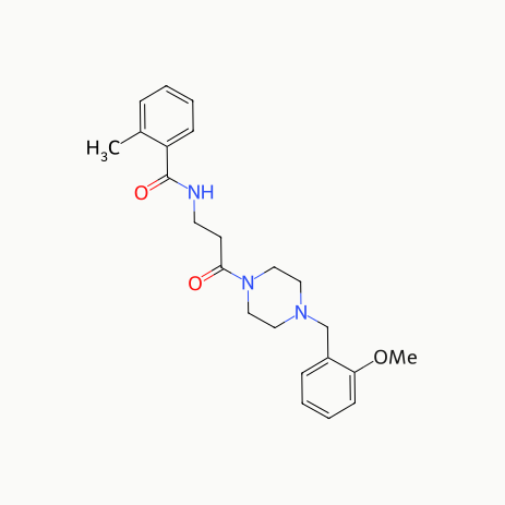 COc1ccccc1CN1CCN(C(=O)CCNC(=O)c2ccccc2C)CC1